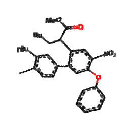 CCCCc1cc(-c2cc(Oc3ccccc3)c([N+](=O)[O-])cc2C(CC(C)(C)C)C(=O)OC)ccc1C